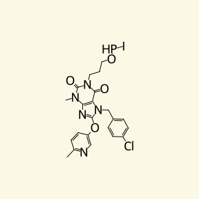 Cc1ccc(Oc2nc3c(c(=O)n(CCCOPI)c(=O)n3C)n2Cc2ccc(Cl)cc2)cn1